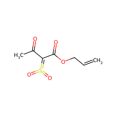 C=CCOC(=O)C(C(C)=O)=S(=O)=O